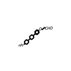 CCCC1CCC(C2CCC(c3ccc(OCCC=O)cc3)CC2)CC1